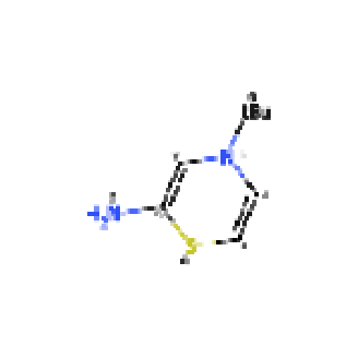 CC(C)(C)N1C=CSC(N)=C1